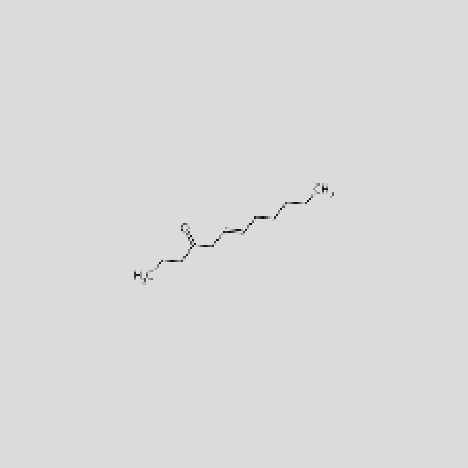 CCCCCC=CCC(=O)CCC